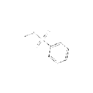 CNS(=N)(=O)c1cccnc1